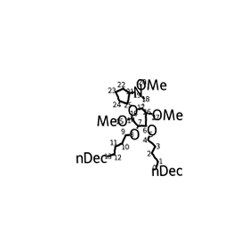 CCCCCCCCCCCCCCO[C@@H]1[C@@H](OCCCCCCCCCCCCCC)[C@@H](OC)O[C@H](CN(OC)C2CCCC2)[C@H]1OC